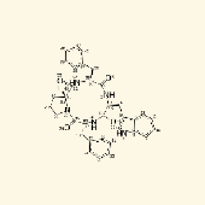 O=C1N[C@@H](Cc2c[nH]c3ccccc23)C(O)N[C@H](Cc2ccccc2)C(=O)N2CCC[C@@H]2C(=O)N[C@H]1Cc1ccccc1